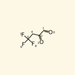 O=CC(=O)CC(F)(F)F